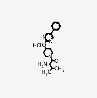 CC(C)[C@H](N)C(=O)N1CCC(Oc2ncc(-c3ccccc3)cn2)CC1.Cl